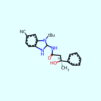 CC(C)(C)N1c2cc(C#N)ccc2NC1NC(=O)C[C@](C)(O)c1ccccc1